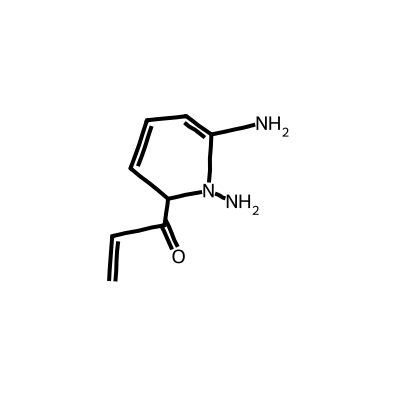 C=CC(=O)C1C=CC=C(N)N1N